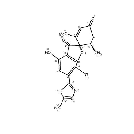 COC1=CC(=O)C[C@@H](C)[C@]12Oc1c(Cl)c(-c3nnc(C)o3)cc(O)c1C2=O